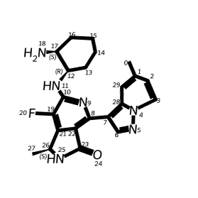 Cc1ccn2ncc(-c3nc(N[C@@H]4CCCC[C@@H]4N)c(F)c4c3C(=O)N[C@H]4C)c2c1